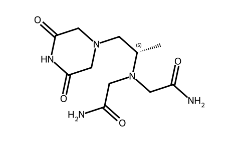 C[C@@H](CN1CC(=O)NC(=O)C1)N(CC(N)=O)CC(N)=O